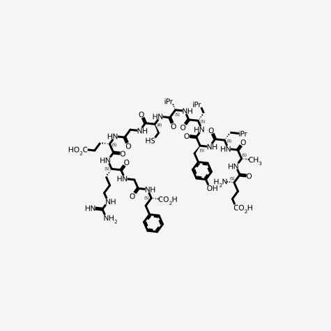 CC(C)C[C@H](NC(=O)[C@H](C)NC(=O)[C@@H](N)CCC(=O)O)C(=O)N[C@@H](Cc1ccc(O)cc1)C(=O)N[C@@H](CC(C)C)C(=O)N[C@H](C(=O)N[C@@H](CS)C(=O)NCC(=O)N[C@@H](CCC(=O)O)C(=O)N[C@@H](CCCNC(=N)N)C(=O)NCC(=O)N[C@@H](Cc1ccccc1)C(=O)O)C(C)C